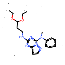 CCOC(CCNc1nc(N(C)c2ccccc2)n2nccc2n1)OCC